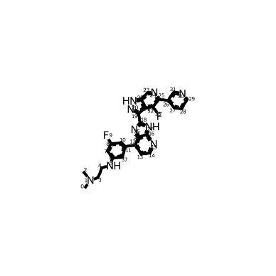 CN(C)CCNc1cc(F)cc(-c2ccnc3[nH]c(-c4n[nH]c5cnc(-c6cccnc6)c(F)c45)nc23)c1